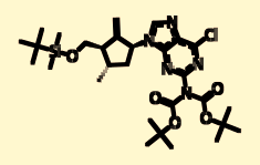 C=C1[C@H](CO[Si](C)(C)C(C)(C)C)[C@@H](C)C[C@@H]1n1cnc2c(Cl)nc(N(C(=O)OC(C)(C)C)C(=O)OC(C)(C)C)nc21